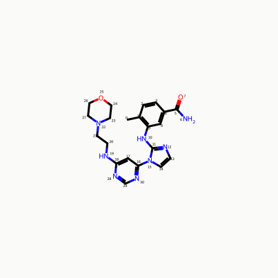 Cc1ccc(C(N)=O)cc1Nc1nccn1-c1cc(NCCN2CCOCC2)ncn1